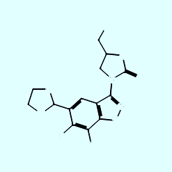 O=C1SC(CO)CN1c1noc2c(F)c(F)c(C3OCCO3)cc12